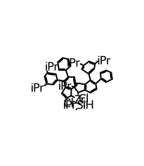 CC(C)C1=Cc2c(ccc(-c3ccccc3)c2-c2cc(C(C)C)cc(C(C)C)c2)[CH]1[Zr]([Cl])([Cl])([CH]1C(C(C)C)=Cc2c1ccc(-c1ccccc1)c2-c1cc(C(C)C)cc(C(C)C)c1)[SiH](C)C